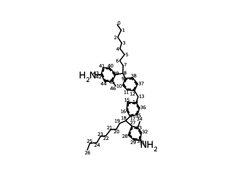 CCCCCCCCC(c1ccc(Cc2ccc(C(CCCCCCCC)c3ccc(N)cc3C)cc2)cc1)c1ccc(N)cc1C